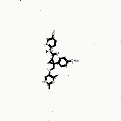 COc1ccc(C2(COc3cnc(C)nc3C)CC2C(=O)Nc2ccc(Cl)cn2)cc1